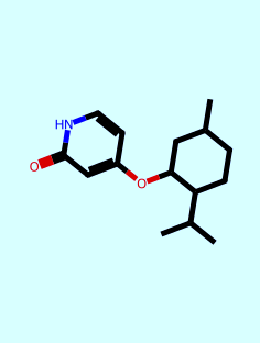 CC1CCC(C(C)C)C(Oc2cc[nH]c(=O)c2)C1